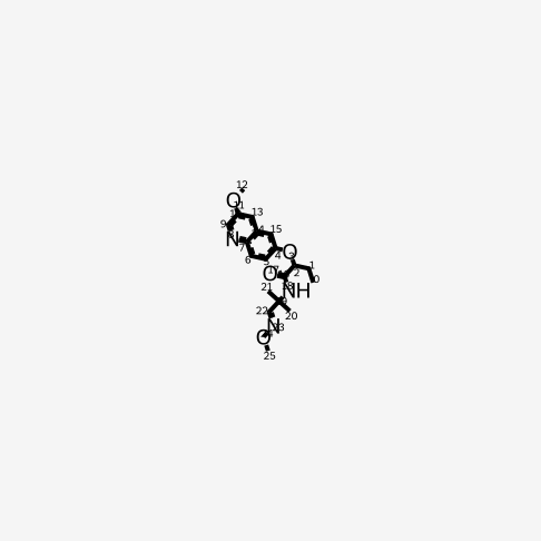 CCC(Oc1ccc2ncc(OC)cc2c1)C(=O)NC(C)(C)/C=N/OC